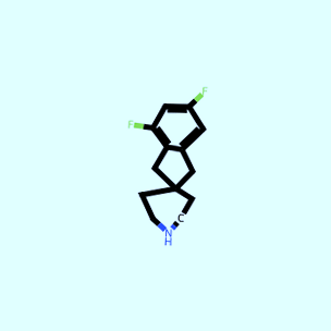 Fc1cc(F)c2c(c1)CC1(CCNCC1)C2